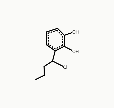 CCCC(Cl)c1cccc(O)c1O